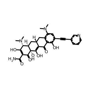 CN(C)c1cc(C#Cc2cccnc2)c(O)c2c1C[C@H]1C[C@@H]3[C@@H](N(C)C)C(O)=C(C(N)=O)C(=O)[C@]3(O)C(O)=C1C2=O